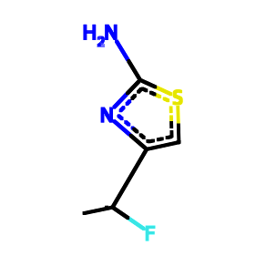 C[C](F)c1csc(N)n1